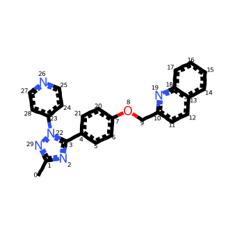 Cc1nc(-c2ccc(OCc3ccc4ccccc4n3)cc2)n(-c2ccncc2)n1